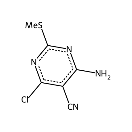 CSc1nc(N)c(C#N)c(Cl)n1